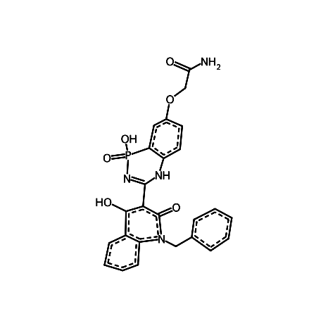 NC(=O)COc1ccc2c(c1)P(=O)(O)N=C(c1c(O)c3ccccc3n(Cc3ccccc3)c1=O)N2